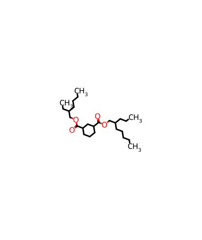 CCCCCC(CCC)COC(=O)C1CCCC(C(=O)OCC(CC)CCCC)C1